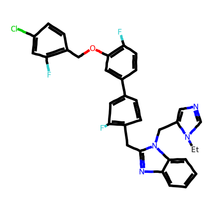 CCn1cncc1Cn1c(Cc2ccc(-c3ccc(F)c(OCc4ccc(Cl)cc4F)c3)cc2F)nc2ccccc21